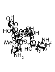 CCCOC[C@H]1[C@@H](O)[C@H](n2c[n+](C)c3c(=O)[nH]c(N)nc32)O[C@@H]1COP(=O)(O)OP(=O)(O)OP(=O)(O)OC[C@H]1O[C@@H](n2cnc3c(N)ncnc32)[C@H](OC)[C@@H]1P(=O)([O-])OC[C@H]1O[C@@H](n2ccc(=O)[nH]c2=O)[C@H](O)[C@@H]1O